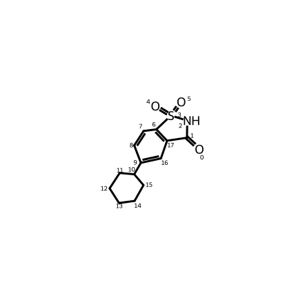 O=C1NS(=O)(=O)c2ccc(C3CCCCC3)cc21